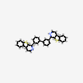 c1cc(-c2cccc(-c3nccc4c3sc3ccccc34)c2)cc(-c2nccc3c2sc2ccccc23)c1